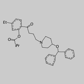 CCc1ccc(C(=O)CCCN2CCC(OC(c3ccccc3)c3ccccc3)CC2)c(OC(=O)C(C)C)c1